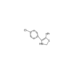 CCCC1=C(c2ccc(Cl)cc2)NCS1